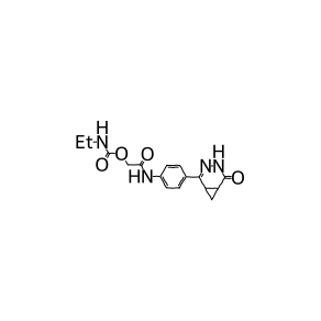 CCNC(=O)OCC(=O)Nc1ccc(C2=NNC(=O)C3CC23)cc1